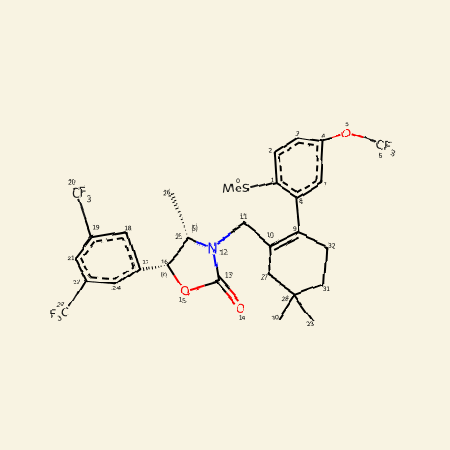 CSc1ccc(OC(F)(F)F)cc1C1=C(CN2C(=O)O[C@H](c3cc(C(F)(F)F)cc(C(F)(F)F)c3)[C@@H]2C)CC(C)(C)CC1